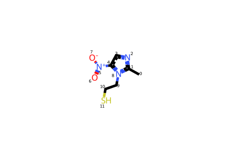 Cc1ncc([N+](=O)[O-])n1CCS